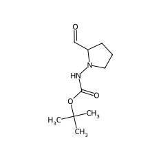 CC(C)(C)OC(=O)NN1CCCC1C=O